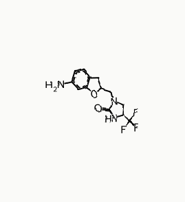 Nc1ccc2c(c1)OC(CN1C[C@@H](C(F)(F)F)NC1=O)C2